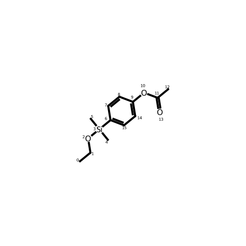 CCO[Si](C)(C)c1ccc(OC(C)=O)cc1